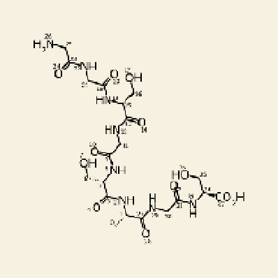 C[C@H](NC(=O)[C@H](CO)NC(=O)CNC(=O)[C@H](CO)NC(=O)CNC(=O)CN)C(=O)NCC(=O)N[C@@H](CO)C(=O)O